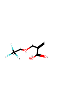 C=C(COCC(F)(F)F)C(=O)O